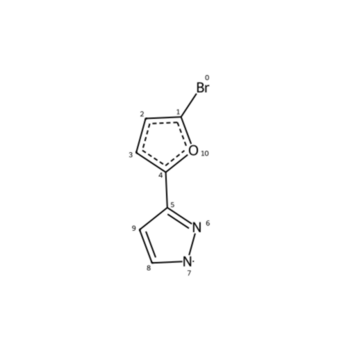 Brc1ccc(C2=N[N]C=C2)o1